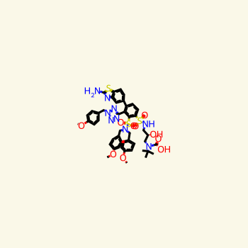 COc1ccc(CN(Cc2ccc(OC)cc2)S(=O)(=O)c2c(S(=O)(=O)NC[C@H](O)CN(C(=O)O)C(C)(C)C)ccc(-c3ccc4sc(N)nc4c3)c2-c2nnn(Cc3ccc(OC)cc3)n2)cc1